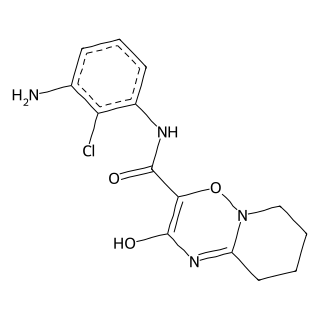 Nc1cccc(NC(=O)C2=C(O)N=C3CCCCN3O2)c1Cl